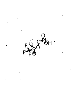 O=[PH](O)OOS(=O)(=O)C(F)(F)F